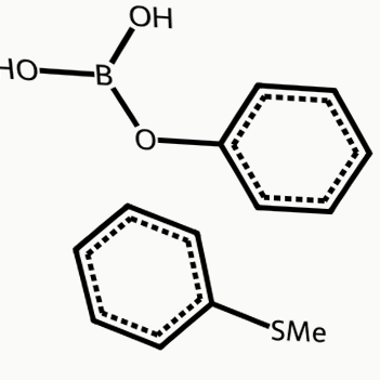 CSc1ccccc1.OB(O)Oc1ccccc1